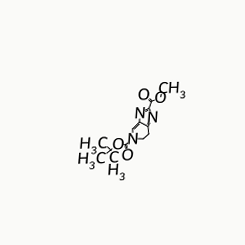 COC(=O)C1=NC2=CN(C(=O)OC(C)(C)C)CCC2=N1